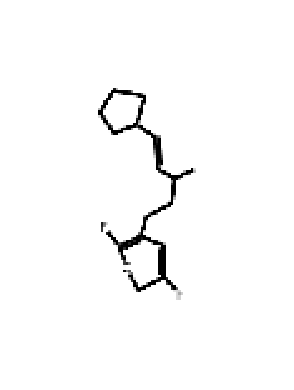 CC(/C=C/C1CCCC1)CCC1=C(F)CCC(F)=C1